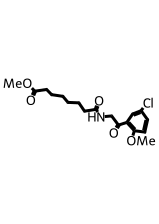 COC(=O)CCCCCCC(=O)NCC(=O)c1cc(Cl)ccc1OC